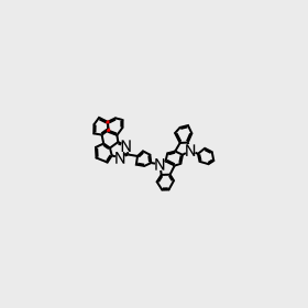 c1ccc(-c2cccc3nc(-c4ccc(-n5c6ccccc6c6cc7c(cc65)c5ccccc5n7-c5ccccc5)cc4)nc(-c4ccccc4)c23)cc1